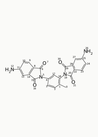 Cc1ccc(N2C(=O)c3ccc(N)cc3C2=O)cc1N1C(=O)c2ccc(N)cc2C1=O